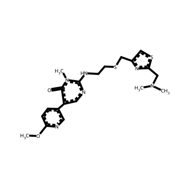 COc1ccc(-c2cnc(NCCSCc3csc(CN(C)C)n3)n(C)c2=O)cn1